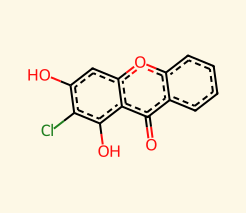 O=c1c2ccccc2oc2cc(O)c(Cl)c(O)c12